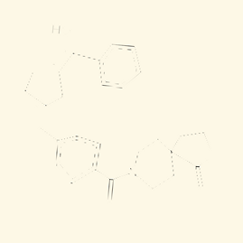 O=C(c1ccc(C[C@@H]2CC[C@H]([C@H](O)c3ccccc3)C2)cc1)N1CCC2(CCOC2=O)CC1